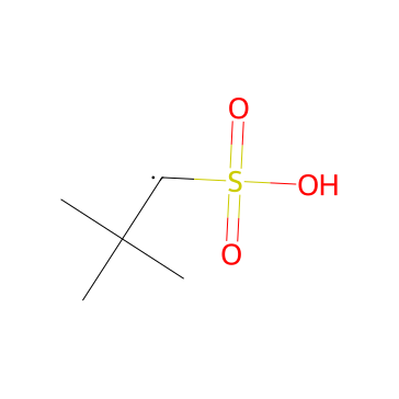 CC(C)(C)[CH]S(=O)(=O)O